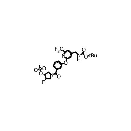 CC(C)(C)OC(=O)NCc1cc(Oc2cccc(C(=O)N3C[C@@H](F)[C@H](OS(C)(=O)=O)C3)c2)nc(C(F)(F)F)c1